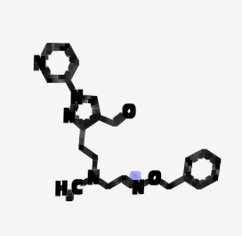 CN(C/C=N/OCc1ccccc1)CCc1nn(-c2cccnc2)cc1C=O